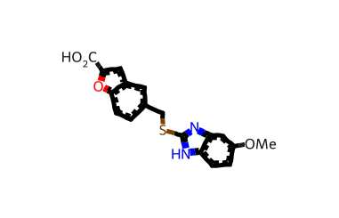 COc1ccc2[nH]c(SCc3ccc4oc(C(=O)O)cc4c3)nc2c1